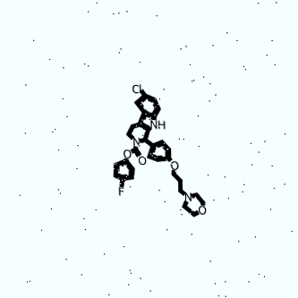 O=C(Oc1ccc(F)cc1)N1CCc2c([nH]c3ccc(Cl)cc23)C1c1ccc(OCCCN2CCOCC2)cc1